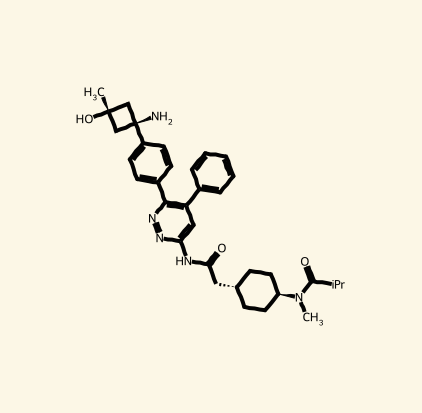 CC(C)C(=O)N(C)[C@H]1CC[C@H](CC(=O)Nc2cc(-c3ccccc3)c(-c3ccc([C@]4(N)C[C@](C)(O)C4)cc3)nn2)CC1